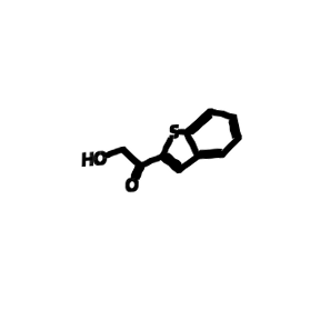 O=C(CO)c1cc2ccccc2s1